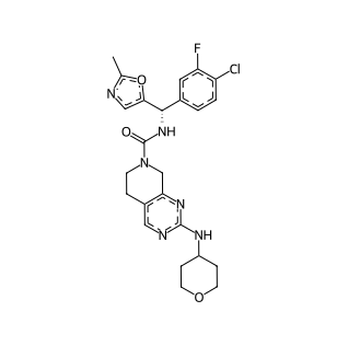 Cc1ncc([C@@H](NC(=O)N2CCc3cnc(NC4CCOCC4)nc3C2)c2ccc(Cl)c(F)c2)o1